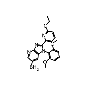 Bc1cnc2nc(-c3cccc(OCC)n3)n(-c3c(OC)cccc3OC)c2c1